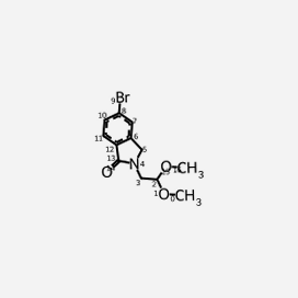 COC(CN1Cc2cc(Br)ccc2C1=O)OC